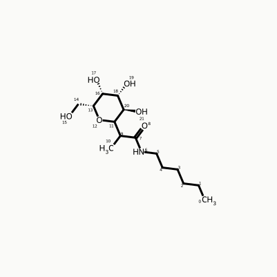 CCCCCCNC(=O)C(C)C1O[C@H](CO)[C@H](O)[C@H](O)[C@H]1O